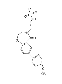 CCS(=O)(=O)NCCN1CCOc2ccc(-c3ccc(OC(F)(F)F)cc3)cc2C1=O